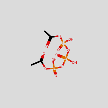 CC(=O)OP(=O)(O)OP(=O)(O)OP(=O)(O)OC(C)=O